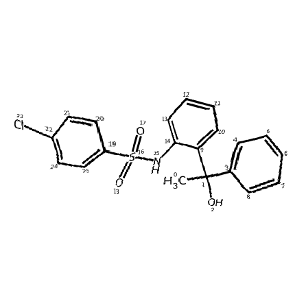 CC(O)(c1ccccc1)c1ccccc1NS(=O)(=O)c1ccc(Cl)cc1